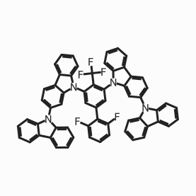 Fc1cccc(F)c1-c1cc(-n2c3ccccc3c3ccc(-n4c5ccccc5c5ccccc54)cc32)c(C(F)(F)F)c(-n2c3ccccc3c3ccc(-n4c5ccccc5c5ccccc54)cc32)c1